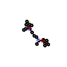 c1ccc(-c2cc(-c3ccc(-c4cccc5c4C4(c6ccccc6-5)c5ccccc5-c5sc6ccccc6c54)cc3)nc(-c3ccc4cc(-c5ccc(-c6cc(-c7cccc8c7C7(c9ccccc9-c9ccccc97)c7c-8sc8ccccc78)nc(-c7ccc8ccccc8c7)n6)cc5)ccc4c3)n2)cc1